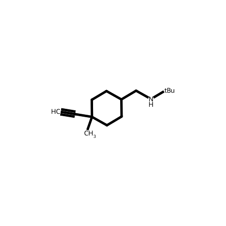 C#CC1(C)CCC(CNC(C)(C)C)CC1